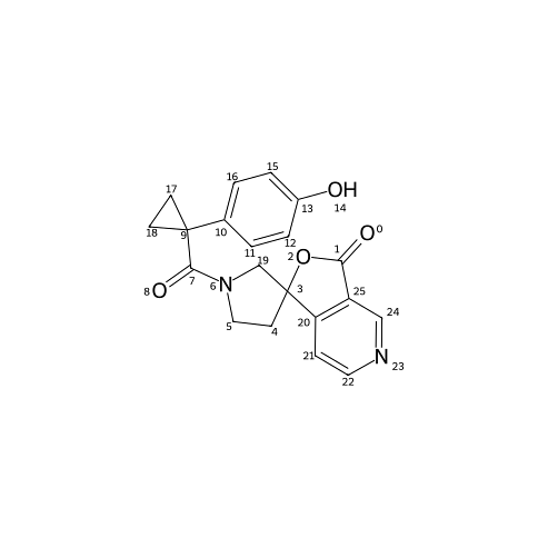 O=C1OC2(CCN(C(=O)C3(c4ccc(O)cc4)CC3)C2)c2ccncc21